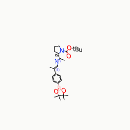 C/C(=C\N=C(/C)[C@@H]1CCCN1C(=O)OC(C)(C)C)c1ccc(B2OC(C)(C)C(C)(C)O2)cc1